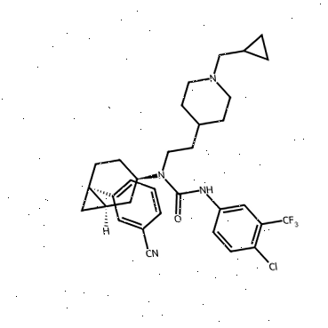 N#Cc1cccc([C@]23CC[C@@H](N(CCC4CCN(CC5CC5)CC4)C(=O)Nc4ccc(Cl)c(C(F)(F)F)c4)C[C@H]2C3)c1